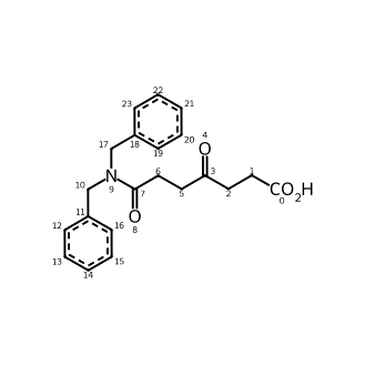 O=C(O)CCC(=O)CCC(=O)N(Cc1ccccc1)Cc1ccccc1